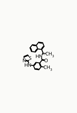 Cc1ccc(Nc2nccs2)cc1C(=O)N[C@H](C)c1cccc2ccccc12